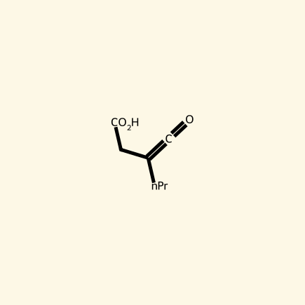 CCCC(=C=O)CC(=O)O